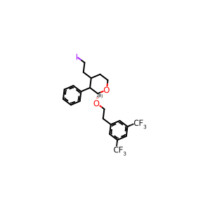 FC(F)(F)c1cc(CCO[C@H]2OCCC(CCI)C2c2ccccc2)cc(C(F)(F)F)c1